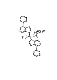 CC(C)(C1C=Cc2c(-c3ccccc3)cccc21)C1C=Cc2c(-c3ccccc3)cccc21.Cl.Cl.[Hf]